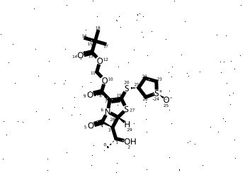 C[C@@H](O)[C@H]1C(=O)N2C(C(=O)OCOC(=O)C(C)(C)C)=C(S[C@@H]3CC[S@+]([O-])C3)S[C@H]12